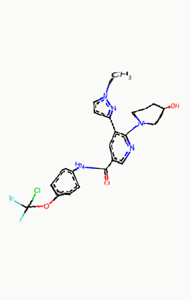 Cn1ccc(-c2cc(C(=O)Nc3ccc(OC(F)(F)Cl)cc3)cnc2N2CC[C@@H](O)C2)n1